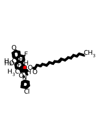 CCCCCCCCC=CCCCCCCCC(=O)OCC(=O)[C@@]12ON(c3ccc(Cl)cc3)C[C@@H]1C[C@H]1[C@@H]3C[C@H](F)C4=CC(=O)C=C[C@]4(C)[C@@]3(F)[C@@H](O)C[C@@]12C